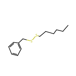 CCCCCCSSCc1ccccc1